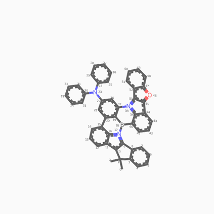 CC1(C)c2ccccc2-c2c1c1cccc3c1n2B1c2c-3cc(N(c3ccccc3)c3ccccc3)cc2-n2c3c1cccc3c1oc3ccccc3c12